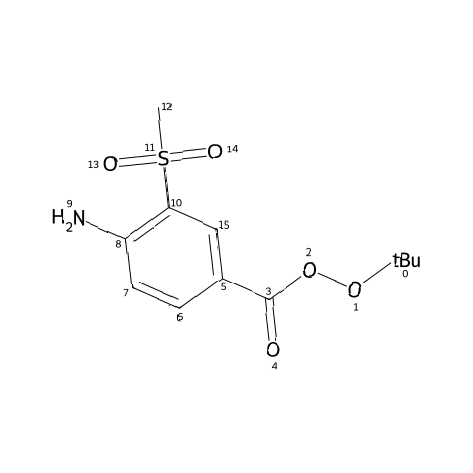 CC(C)(C)OOC(=O)c1ccc(N)c(S(C)(=O)=O)c1